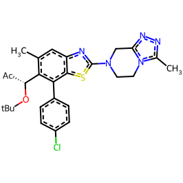 CC(=O)[C@@H](OC(C)(C)C)c1c(C)cc2nc(N3CCn4c(C)nnc4C3)sc2c1-c1ccc(Cl)cc1